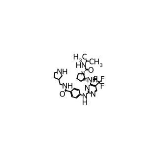 CC(C)NC(=O)[C@H]1CCC[C@H]1Nc1nc(Nc2ccc(C(=O)NCC3CCNC3)cc2)ncc1C(F)(F)F